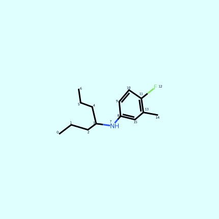 CCCC(CCC)Nc1ccc(F)c(C)c1